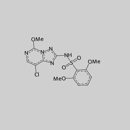 COc1cccc(OC)c1S(=O)(=O)Nc1nc2c(Cl)cnc(OC)n2n1